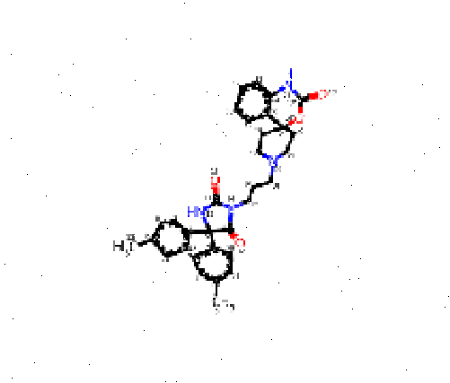 Cc1ccc(C2(c3ccc(C)cc3)NC(=O)N(CCCN3CCC4(CC3)OC(=O)Nc3ccccc34)C2=O)cc1